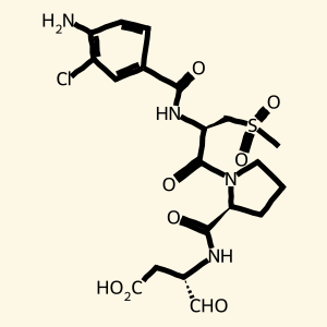 CS(=O)(=O)C[C@H](NC(=O)c1ccc(N)c(Cl)c1)C(=O)N1CCC[C@H]1C(=O)N[C@H](C=O)CC(=O)O